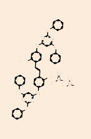 CCN(CC)CC.CCN(CC)CC.O=S(=O)(O)c1cc(Nc2cc(Oc3ccccc3)nc(Oc3ccccc3)n2)ccc1C=Cc1ccc(Nc2cc(Oc3ccccc3)nc(Oc3ccccc3)n2)cc1S(=O)(=O)O